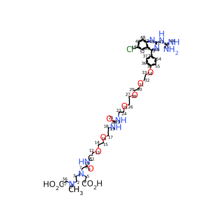 CN(CCN(CC(=O)O)CC(=O)NCCOCCOCCNC(=O)NCCOCCOCCOCCOc1ccc(-c2nc(NC(=N)N)nc3ccc(Cl)cc23)cc1)CC(=O)O